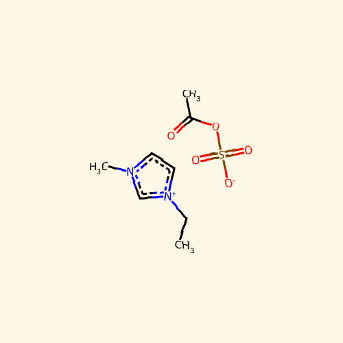 CC(=O)OS(=O)(=O)[O-].CC[n+]1ccn(C)c1